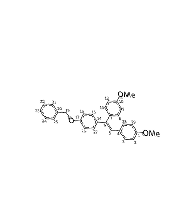 COc1ccc(/C=C(\c2ccc(OC)cc2)c2ccc(OCc3ccccc3)cc2)cc1